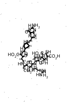 N=C(N)NCCC[C@@H](NC(=O)[C@@H](CC(=O)O)NCCC(=O)[C@@H](NC(=O)c1ccc(NCc2cnc3nc(N)[nH]c(=O)c3n2)cc1)C(=O)O)C(=O)N[C@H](CC(=O)O)C(=O)N[C@H](CC(=O)O)C(=O)N[C@H](CS)C(=O)O